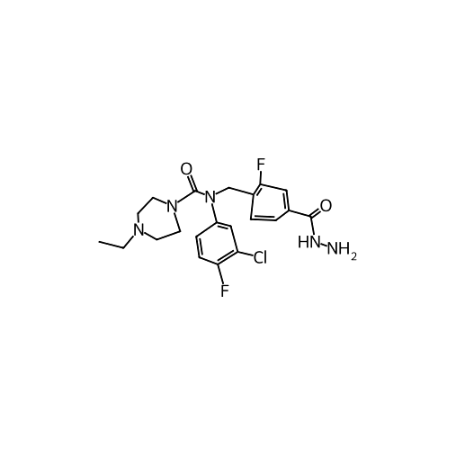 CCN1CCN(C(=O)N(Cc2ccc(C(=O)NN)cc2F)c2ccc(F)c(Cl)c2)CC1